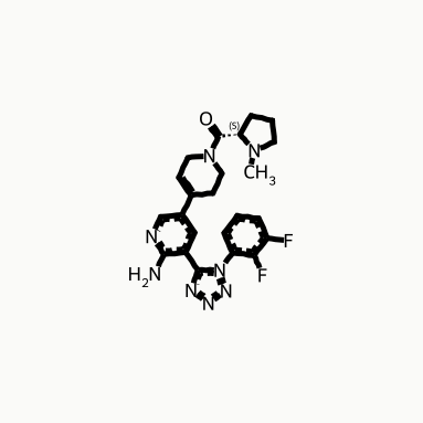 CN1CCC[C@H]1C(=O)N1CC=C(c2cnc(N)c(-c3nnnn3-c3cccc(F)c3F)c2)CC1